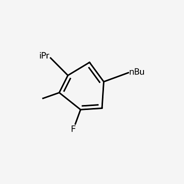 CCCCc1cc(F)c(C)c(C(C)C)c1